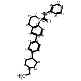 CCC1CCC(c2ccc(-c3ccc4c(c3)CCCN4C(=O)Nc3ccncc3)cc2)CC1